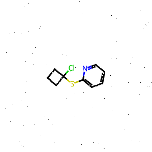 ClC1(Sc2ccccn2)CCC1